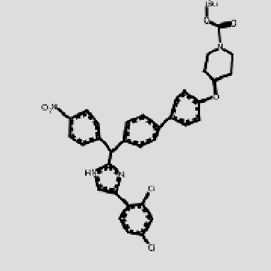 CC(C)(C)OC(=O)N1CCC(Oc2ccc(-c3ccc(C(c4ccc([N+](=O)[O-])cc4)c4nc(-c5ccc(Cl)cc5Cl)c[nH]4)cc3)cc2)CC1